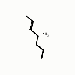 CC=CCCCC.N